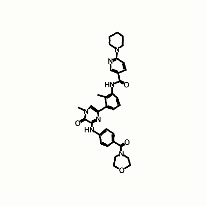 Cc1c(NC(=O)c2ccc(N3CCCCC3)nc2)cccc1-c1cn(C)c(=O)c(Nc2ccc(C(=O)N3CCOCC3)cc2)n1